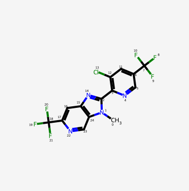 Cn1c(-c2ncc(C(F)(F)F)cc2Cl)nc2cc(C(F)(F)F)ncc21